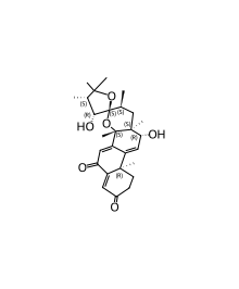 C[C@H]1[C@@H](O)[C@@]2(OC1(C)C)O[C@@]1(C)C3=CC(=O)C4=CC(=O)CC[C@]4(C)C3=C[C@@H](O)[C@]1(C)C[C@@H]2C